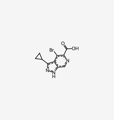 O=C(O)c1ncc2[nH]nc(C3CC3)c2c1Br